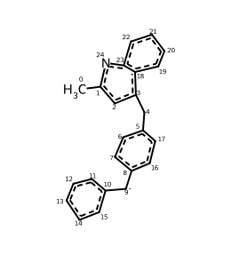 Cc1cc(Cc2ccc([CH]c3ccccc3)cc2)c2ccccc2n1